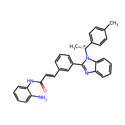 Cc1ccc([C@@H](C)n2c(-c3cccc(/C=C/C(=O)Nc4ccccc4N)c3)nc3ccccc32)cc1